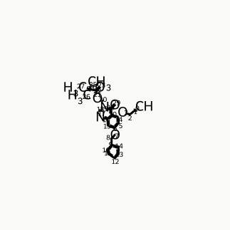 C#CCOc1cc(OCc2ccccc2)cc2ncn(COC(=O)C(C)(C)C)c(=O)c12